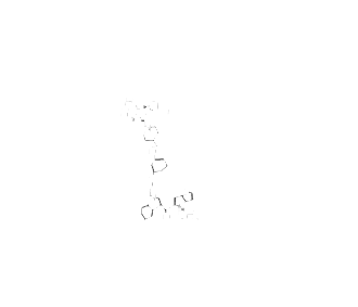 Cn1c(C(=O)c2cn(CCOc3cccc(OCC4CCN(C(=O)OC(C)(C)C)CC4)c3)c3ccccc23)cc2sccc21